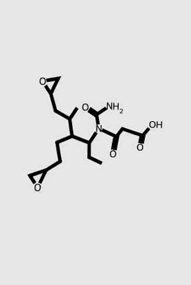 CCC(C(CCC1CO1)C(C)CC1CO1)N(C(N)=O)C(=O)CC(=O)O